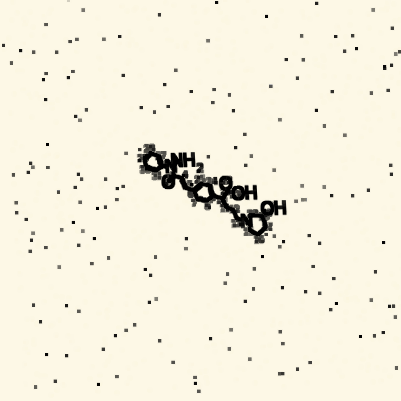 NN(C(=O)C=Cc1ccc(C(CCCN2CCCC(O)C2)C(=O)O)cc1)c1ccccc1